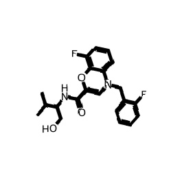 CC(C)C(CO)NC(=O)C1=CN(Cc2ccccc2F)c2cccc(F)c2O1